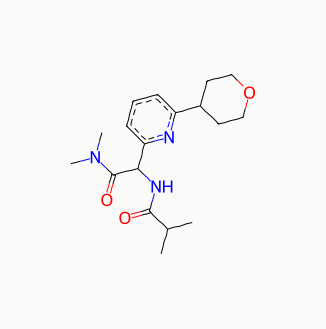 CC(C)C(=O)NC(C(=O)N(C)C)c1cccc(C2CCOCC2)n1